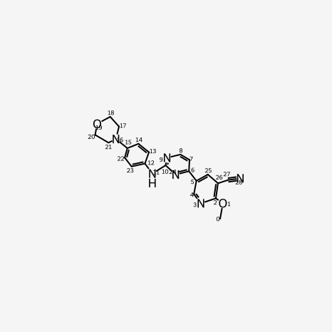 COc1ncc(-c2ccnc(Nc3ccc(N4CCOCC4)cc3)n2)cc1C#N